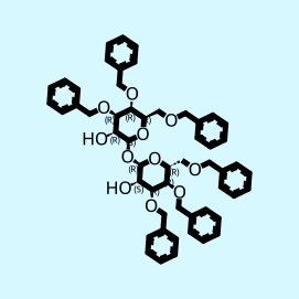 O[C@@H]1[C@@H](O[C@@H]2O[C@H](COCc3ccccc3)[C@@H](OCc3ccccc3)[C@H](OCc3ccccc3)[C@H]2O)O[C@H](COCc2ccccc2)[C@@H](OCc2ccccc2)[C@@H]1OCc1ccccc1